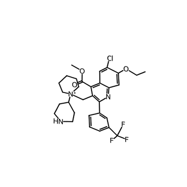 CCOc1cc2nc(-c3cccc(C(F)(F)F)c3)c(C[N+]3(C4CCNCC4)CCCCC3)c(C(=O)OC)c2cc1Cl